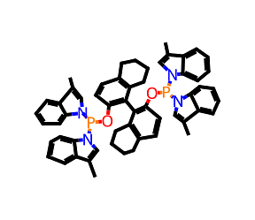 Cc1cn(P(Oc2ccc3c(c2-c2c(OP(n4cc(C)c5ccccc54)n4cc(C)c5ccccc54)ccc4c2CCCC4)CCCC3)n2cc(C)c3ccccc32)c2ccccc12